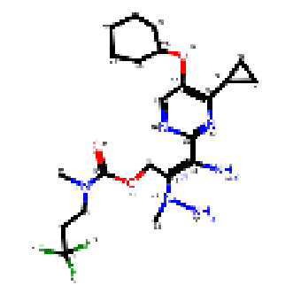 CN(CCC(F)(F)F)C(=O)OC/C(=C(/N)c1ncc(OC2CCCCC2)c(C2CC2)n1)N(C)N